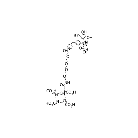 CCNC(=O)c1nnc(-c2cc(C(C)C)c(O)cc2O)n1-c1ccc(CC2CCN(C(=O)CCOCCOCCOCCOCCNC(=O)CCC(C(=O)O)N3CCN(CC(=O)O)CCN(CC(=O)O)CCN(CC(=O)O)CC3)CC2)cc1